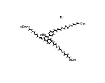 CCCCCCCCCCCCCCCCCCC#CC(=Nc1ccc(C=CCCCCCCCCCCCCCCCCCCCCC)cc1)C(CCCC)=Nc1ccc(C=CCCCCCCCCCCCCCCCCCCCCC)cc1.[Pd]